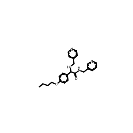 CCCCOc1ccc(C(NCc2ccncc2)C(=O)NCc2cccnc2)cc1